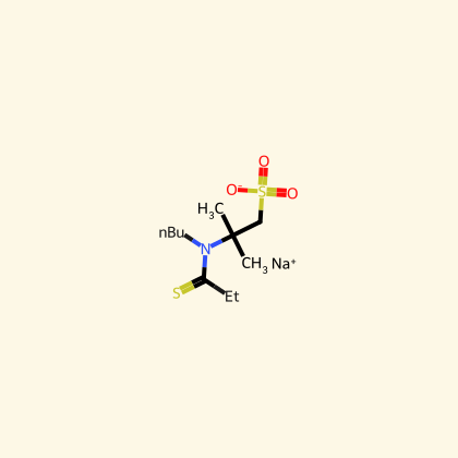 CCCCN(C(=S)CC)C(C)(C)CS(=O)(=O)[O-].[Na+]